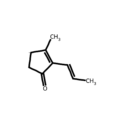 CC=CC1=C(C)[CH]CC1=O